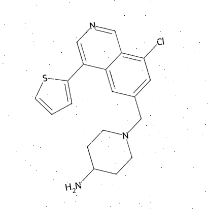 NC1CCN(Cc2cc(Cl)c3cncc(-c4cccs4)c3c2)CC1